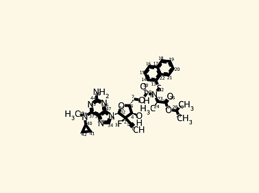 C#C[C@@]1(F)[C@H](O)[C@@H](CO[PH](=O)N(Sc2cccc3ccccc23)[C@@H](C)C(=O)OC(C)C)O[C@H]1n1cnc2c(N(C)C3CC3)nc(N)nc21